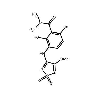 COC1=NS(=O)(=O)N=C1Nc1ccc(Br)c(C(=O)N(C)C)c1O